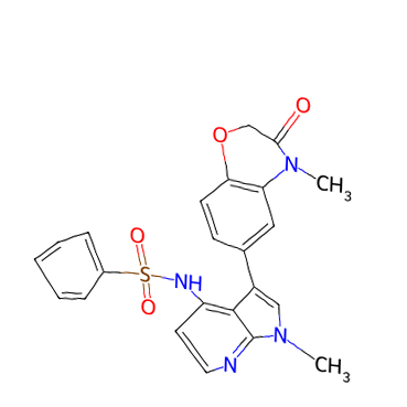 CN1C(=O)COc2ccc(-c3cn(C)c4nccc(NS(=O)(=O)c5ccccc5)c34)cc21